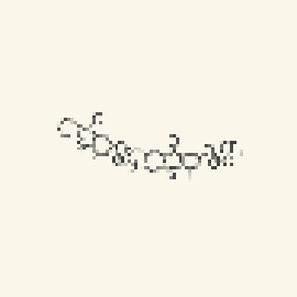 Cc1cc(OS(=O)(=O)Cc2ccc3sc4c(C)cc(OS(=O)(=O)C(F)(F)F)cc4c(=O)c3c2)cc2c(=O)c3ccccc3sc12